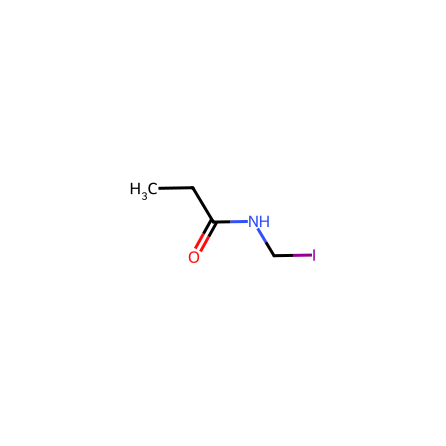 CCC(=O)NCI